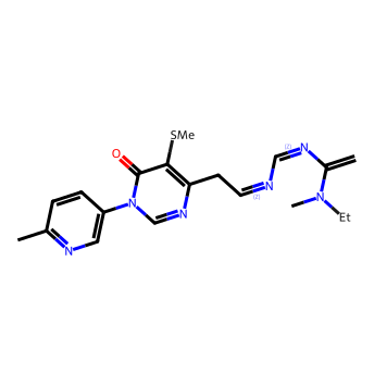 C=C(/N=C\N=C/Cc1ncn(-c2ccc(C)nc2)c(=O)c1SC)N(C)CC